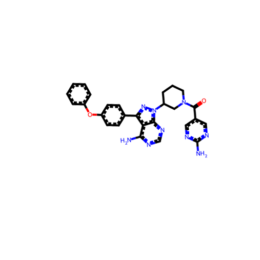 Nc1ncc(C(=O)N2CCCC(n3nc(-c4ccc(Oc5ccccc5)cc4)c4c(N)ncnc43)C2)cn1